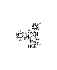 Cc1nsc(-c2nc(N3CCOC3=O)c3n2CCN(Cc2ccncc2)[C@@H]3C)n1.Cl